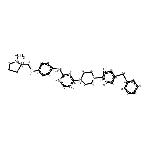 CN1CCC[C@@H]1COc1ccc(Nc2ncnc(N3CCN(c4ncc(Cc5ccccc5)cn4)CC3)n2)cc1